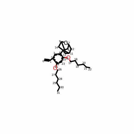 C#Cc1cc(C23CC4CC(CC(C4)C2)C3)c(OCCCCCC)cc1OCCCCCC